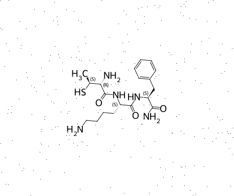 C[C@H](S)[C@H](N)C(=O)N[C@@H](CCCCN)C(=O)N[C@@H](Cc1ccccc1)C(N)=O